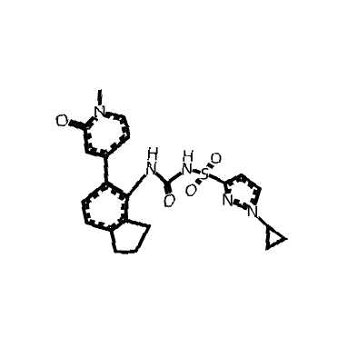 Cn1ccc(-c2ccc3c(c2NC(=O)NS(=O)(=O)c2ccn(C4CC4)n2)CCC3)cc1=O